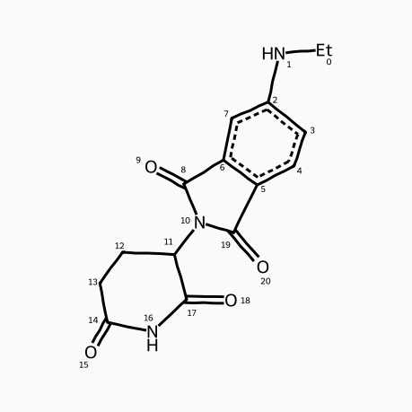 CCNc1ccc2c(c1)C(=O)N(C1CCC(=O)NC1=O)C2=O